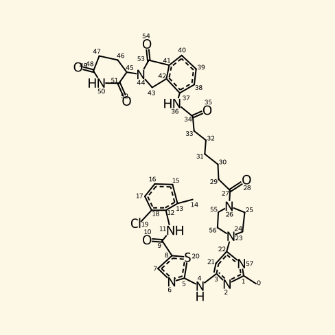 Cc1nc(Nc2ncc(C(=O)Nc3c(C)cccc3Cl)s2)cc(N2CCN(C(=O)CCCCCC(=O)Nc3cccc4c3CN(C3CCC(=O)NC3=O)C4=O)CC2)n1